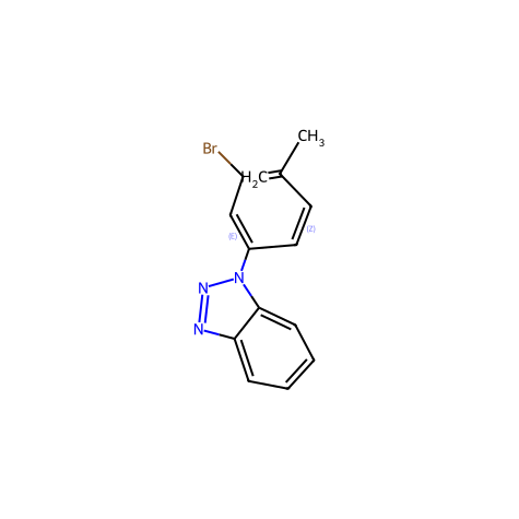 C=C(C)/C=C\C(=C/CBr)n1nnc2ccccc21